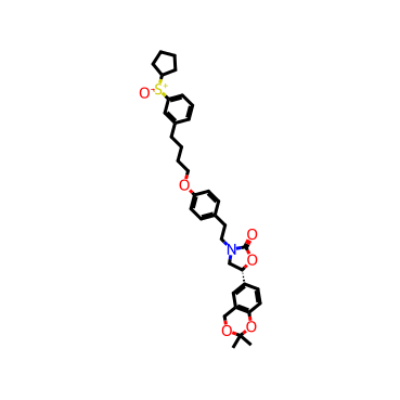 CC1(C)OCc2cc([C@@H]3CN(CCc4ccc(OCCCCc5cccc([S+]([O-])C6CCCC6)c5)cc4)C(=O)O3)ccc2O1